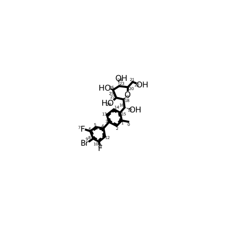 Cc1cc(-c2cc(F)c(Br)c(F)c2)ccc1[C@@H](O)[C@H]1OC(CO)[C@@H](O)[C@H](O)C1O